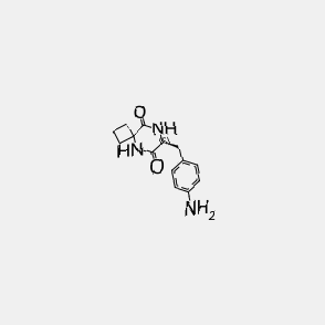 Nc1ccc(C[C@@H]2NC(=O)C3(CCC3)NC2=O)cc1